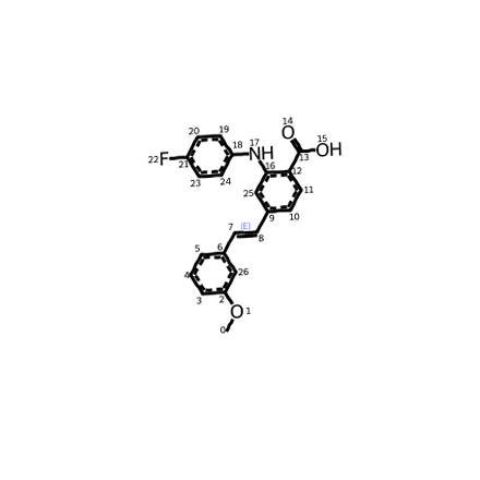 COc1cccc(/C=C/c2ccc(C(=O)O)c(Nc3ccc(F)cc3)c2)c1